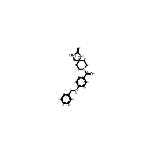 C=C1NCC2(CCN(C(=O)c3ccc(OCc4ccccc4)cc3)CC2)N1